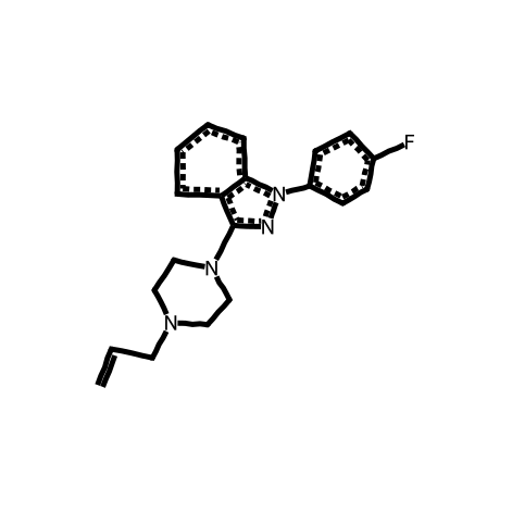 C=CCN1CCN(c2nn(-c3ccc(F)cc3)c3ccccc23)CC1